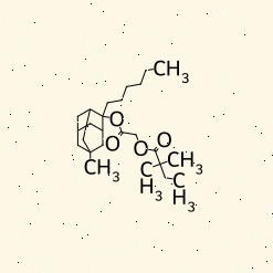 CCCCCCC1(OC(=O)COC(=O)C(C)(C)CC)C2CC3CC1CC(C)(C3)C2